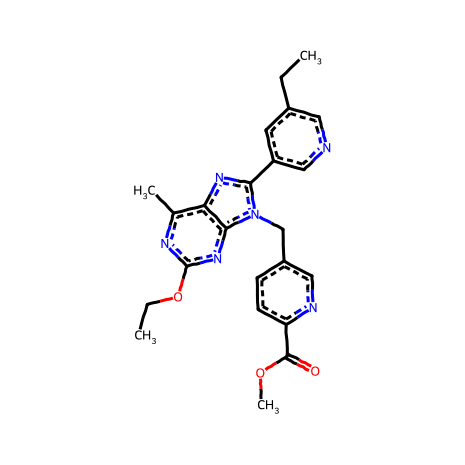 CCOc1nc(C)c2nc(-c3cncc(CC)c3)n(Cc3ccc(C(=O)OC)nc3)c2n1